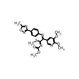 COC(=O)/N=C(\SC)C(=Nc1ccc(-c2noc(C)n2)cc1)c1cnc(OC)c(OC)c1